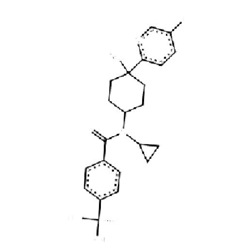 C[C@](O)(c1ccc(C(=O)N(C2CC2)C2CCC(C#N)(c3ccc(F)cn3)CC2)cc1)C(F)(F)F